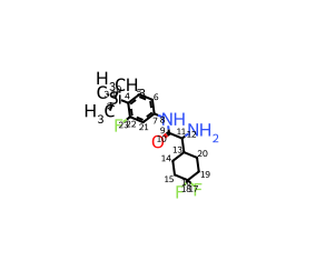 C[Si](C)(C)c1ccc(NC(=O)C(N)C2CCC(F)(F)CC2)cc1F